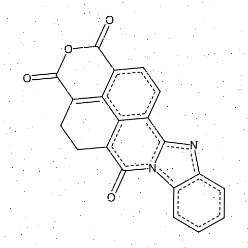 O=C1OC(=O)c2ccc3c4c(c(=O)n5c6ccccc6nc35)CCC1=c24